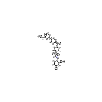 O=C(c1ccc(-c2ccnc(CO)c2)cc1)N1CCN(S(=O)(=O)/C=C/c2ccc(Cl)cc2O)CC1